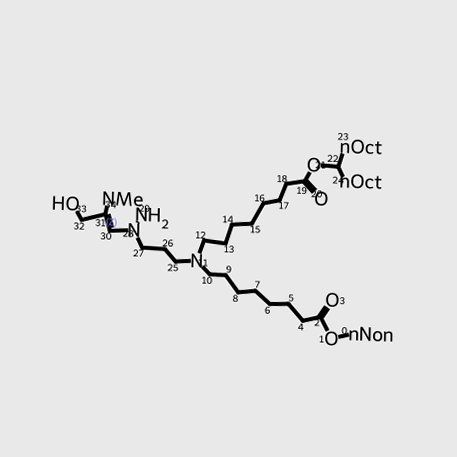 CCCCCCCCCOC(=O)CCCCCCCN(CCCCCCCC(=O)OC(CCCCCCCC)CCCCCCCC)CCCN(N)/C=C(/CO)NC